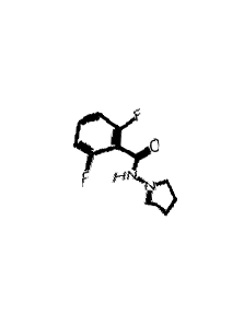 O=C(NN1CCCC1)c1c(F)cccc1F